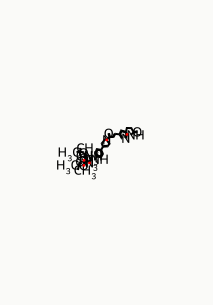 CC(C)(C)OC(=O)/N=C(\NC(=O)OC(C)(C)C)Nc1ccc(C2=CCN(C(=O)/C=C/c3cnc4c(c3)CCC(=O)N4)CC2)cc1